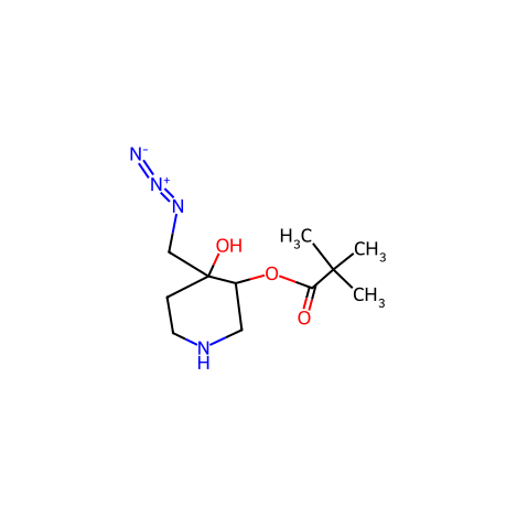 CC(C)(C)C(=O)OC1CNCCC1(O)CN=[N+]=[N-]